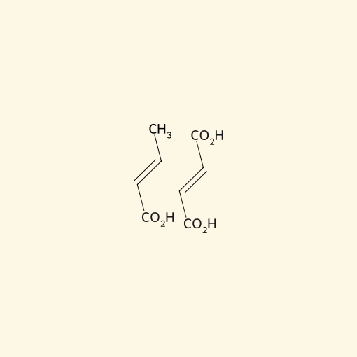 CC=CC(=O)O.O=C(O)C=CC(=O)O